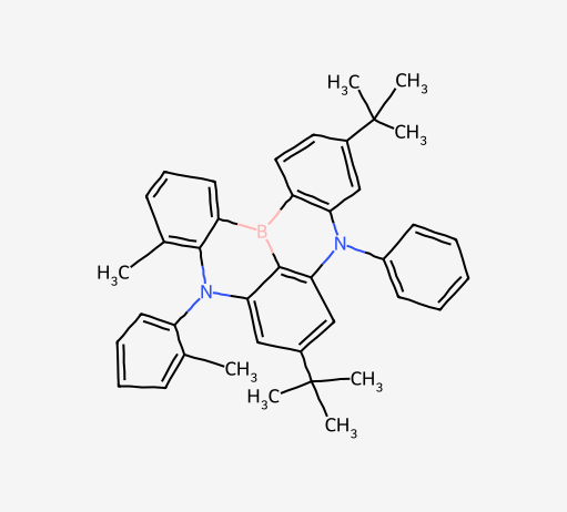 Cc1ccccc1N1c2cc(C(C)(C)C)cc3c2B(c2ccc(C(C)(C)C)cc2N3c2ccccc2)c2cccc(C)c21